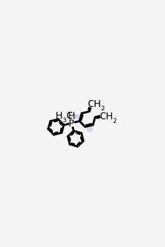 C=C/C=C\C(=C/C=C)[PH](C)(c1ccccc1)c1ccccc1